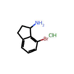 Cl.NC1CCc2cccc(Br)c21